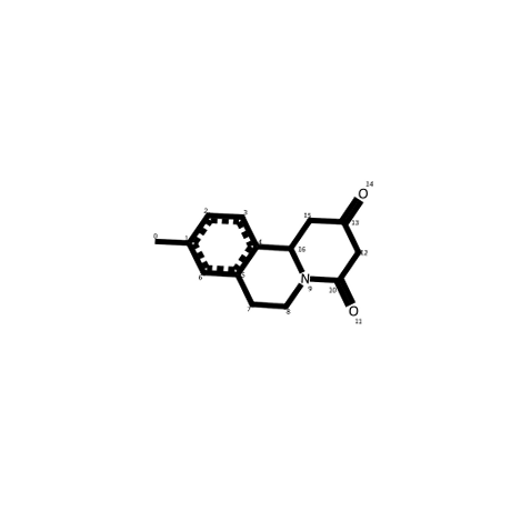 Cc1ccc2c(c1)CCN1C(=O)CC(=O)CC21